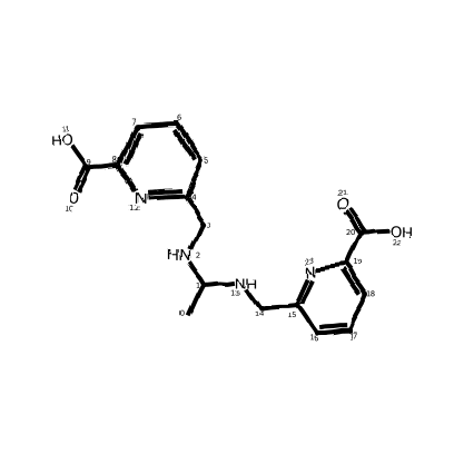 CC(NCc1cccc(C(=O)O)n1)NCc1cccc(C(=O)O)n1